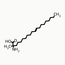 CCCCCCCCC=CCCCCCCCCC(C)(N)C(=O)O